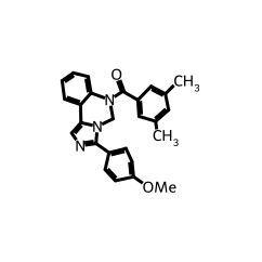 COc1ccc(-c2ncc3n2CN(C(=O)c2cc(C)cc(C)c2)c2ccccc2-3)cc1